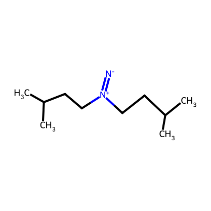 CC(C)CC[N+](=[N-])CCC(C)C